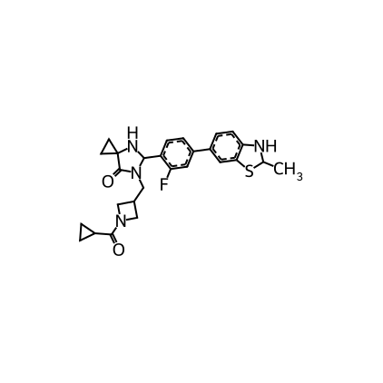 CC1Nc2ccc(-c3ccc(C4NC5(CC5)C(=O)N4CC4CN(C(=O)C5CC5)C4)c(F)c3)cc2S1